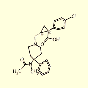 CC(=O)N(C)C1(c2ccccc2)CCN(C[C@@H]2C[C@@]2(C(=O)O)c2ccc(Cl)cc2)CC1